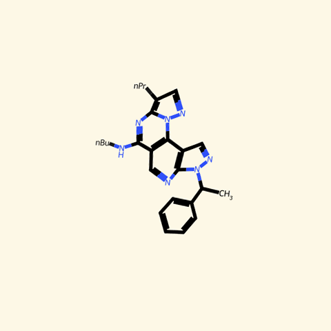 CCCCNc1nc2c(CCC)cnn2c2c1cnc1c2cnn1C(C)c1ccccc1